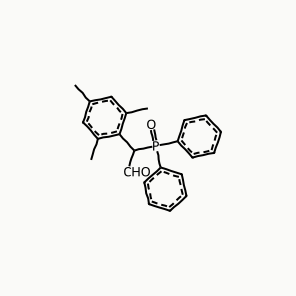 Cc1cc(C)c(C(C=O)P(=O)(c2ccccc2)c2ccccc2)c(C)c1